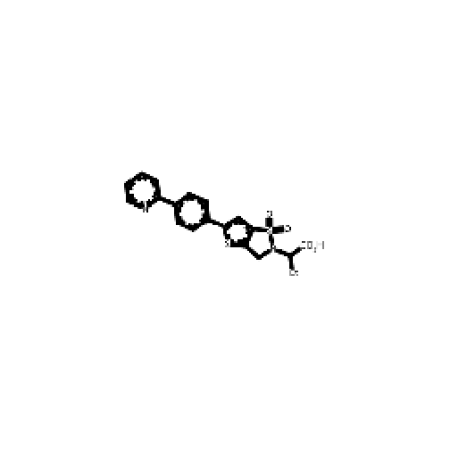 CCC(C(=O)O)N1Cc2sc(-c3ccc(-c4ccccn4)cc3)cc2S1(=O)=O